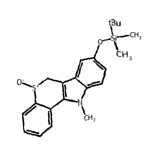 Cn1c2c(c3cc(O[Si](C)(C)C(C)(C)C)ccc31)C[S+]([O-])c1ccccc1-2